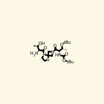 C[C@@H](O)[C@H](N)C(=O)N1CCSC12CN(C(=O)[C@@H](NC(=O)OC(C)(C)C)[C@@H](C)OC(C)(C)C)C2